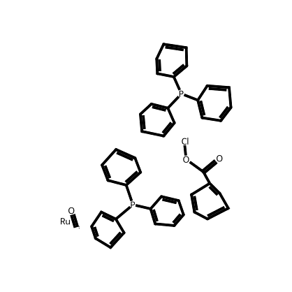 O=C(OCl)c1ccccc1.[C]=O.[Ru].c1ccc(P(c2ccccc2)c2ccccc2)cc1.c1ccc(P(c2ccccc2)c2ccccc2)cc1